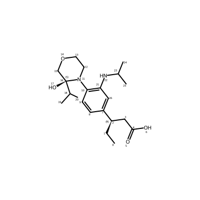 CC[C@H](CC(=O)O)c1ccc(N2CCOC[C@@]2(O)C(C)C)c(NC(C)C)c1